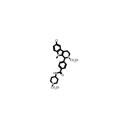 CCOC(=O)N1CCC(NC(=O)c2ccc(C3c4c(c5cc(Cl)ccc5n4C)CCN3C(=O)OCC)cc2)CC1